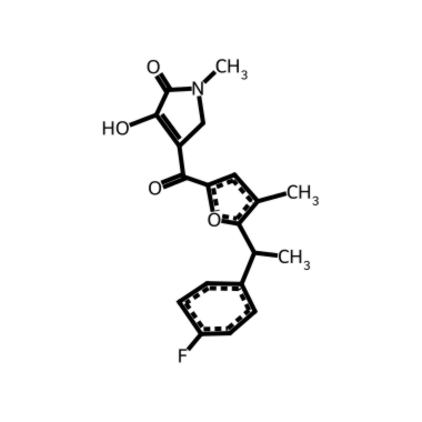 Cc1cc(C(=O)C2=C(O)C(=O)N(C)C2)oc1C(C)c1ccc(F)cc1